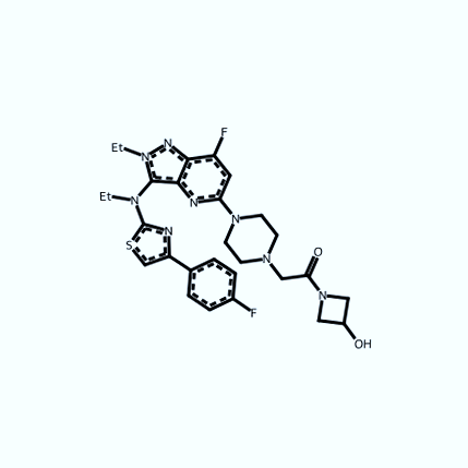 CCN(c1nc(-c2ccc(F)cc2)cs1)c1c2nc(N3CCN(CC(=O)N4CC(O)C4)CC3)cc(F)c2nn1CC